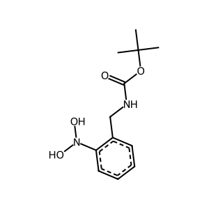 CC(C)(C)OC(=O)NCc1ccccc1N(O)O